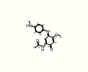 CNc1ccc(N=C2C=C(NC(C)=O)C(=O)C=C2OC)cc1